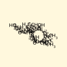 CCc1ccncc1-c1c2c3cc(ccc3n1CC)-c1cc(O)cc(c1)C[C@H](NC(=O)[C@H](C(C)C)N(C)C(=O)[C@H]1CCN(C(=O)CN3CC[C@H](O)C3)C1)C(=O)N1CCC[C@H](N1)C(=O)OCC(C)(C)C2